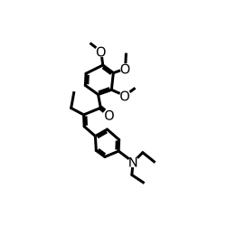 CCC(=Cc1ccc(N(CC)CC)cc1)C(=O)c1ccc(OC)c(OC)c1OC